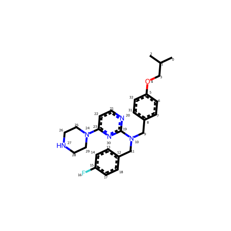 CC(C)COc1ccc(CN(Cc2ccc(F)cc2)c2nccc(N3CCNCC3)n2)cc1